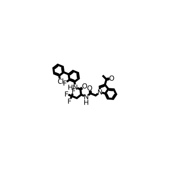 CC(=O)c1cn(CC(=O)NC(CC(F)(F)F)C(=O)Nc2cccc(-c3ccccc3Cl)c2F)c2ccccc12